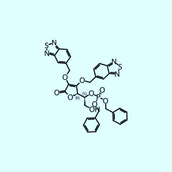 O=C1O[C@H]([C@H](CO)OP(=O)(OCc2ccccc2)OCc2ccccc2)C(OCc2ccc3nsnc3c2)=C1OCc1ccc2nsnc2c1